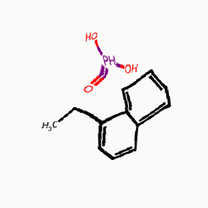 CCc1cccc2ccccc12.O=[PH](O)O